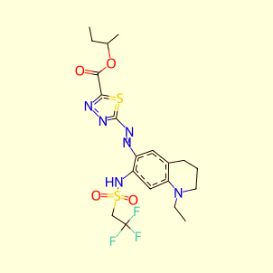 CCC(C)OC(=O)c1nnc(N=Nc2cc3c(cc2NS(=O)(=O)CC(F)(F)F)N(CC)CCC3)s1